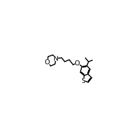 CC(C)c1cc2ccsc2cc1OCCCCN1CCOCC1